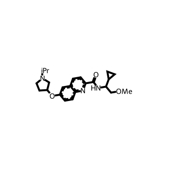 COCC(NC(=O)c1ccc2cc(OC3CCN(C(C)C)C3)ccc2n1)C1CC1